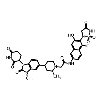 C[C@H]1CC(c2ccc3c(c2)n(C)c(=O)n3C2CCC(=O)NC2=O)CCN1CC(=O)Nc1ccc2c(F)c(N3CC(=O)NS3(=O)=O)c(O)cc2c1